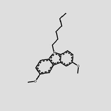 CCCCCCn1c2ccc(OC)cc2c2cc(OC)ccc21